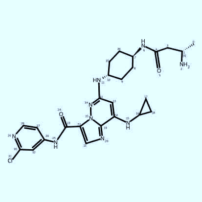 C[C@H](N)CC(=O)N[C@H]1CC[C@H](Nc2cc(NC3CC3)c3ncc(C(=O)Nc4ccnc(Cl)c4)n3n2)CC1